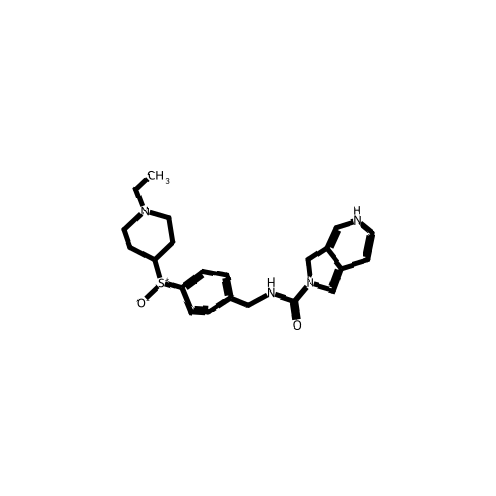 CCN1CCC([S+]([O-])c2ccc(CNC(=O)N3C=C4C=CNC=C4C3)cc2)CC1